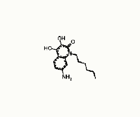 CCCCCCn1c(=O)c(O)c(O)c2ccc(N)cc21